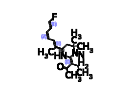 CC/C(C(C)=O)=C1/N[C@@H](/C(C)=C/C=C\C=C\F)CC(C)(C)N1N